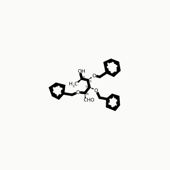 C[C@@H](O)[C@H](OCc1ccccc1)[C@H](OCc1ccccc1)[C@H](C=O)OCc1ccccc1